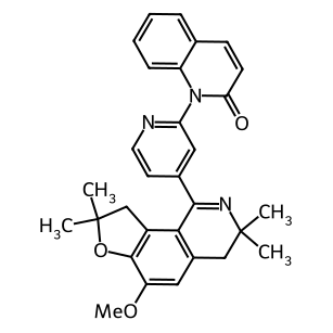 COc1cc2c(c3c1OC(C)(C)C3)C(c1ccnc(-n3c(=O)ccc4ccccc43)c1)=NC(C)(C)C2